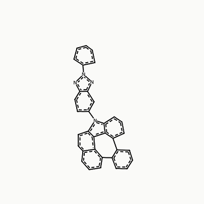 c1ccc(-n2nc3ccc(-n4c5cccc6c5c5c7c(cccc7ccc54)-c4ccccc4-6)cc3n2)cc1